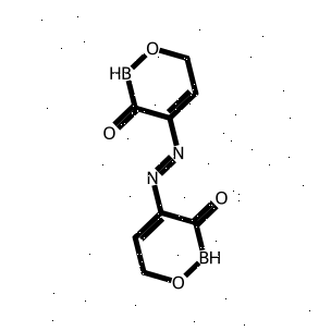 O=C1BOCC=C1N=NC1=CCOBC1=O